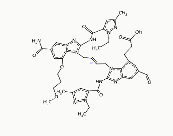 CCn1nc(C)cc1C(=O)Nc1nc2cc(C=O)cc(CCC(=O)O)c2n1C/C=C/Cn1c(NC(=O)c2cc(C)nn2CC)nc2cc(C(N)=O)cc(OCCCOC)c21